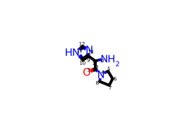 NC(C(=O)N1CCCC1)c1c[nH]cn1